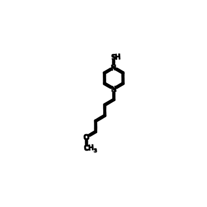 COCCCCCN1CCN(S)CC1